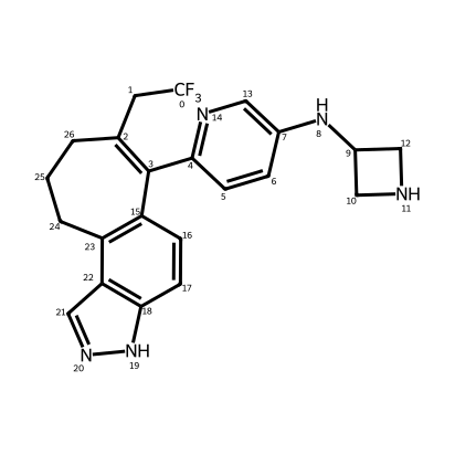 FC(F)(F)CC1=C(c2ccc(NC3CNC3)cn2)c2ccc3[nH]ncc3c2CCC1